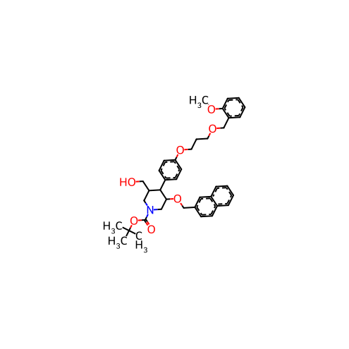 COc1ccccc1COCCCOc1ccc(C2C(CO)CN(C(=O)OC(C)(C)C)CC2OCc2ccc3ccccc3c2)cc1